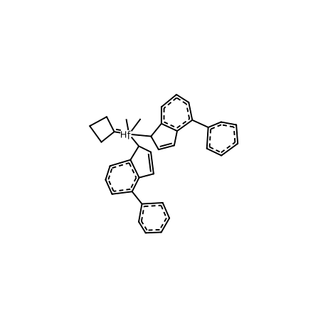 [CH3][Hf]([CH3])(=[C]1CCC1)([CH]1C=Cc2c(-c3ccccc3)cccc21)[CH]1C=Cc2c(-c3ccccc3)cccc21